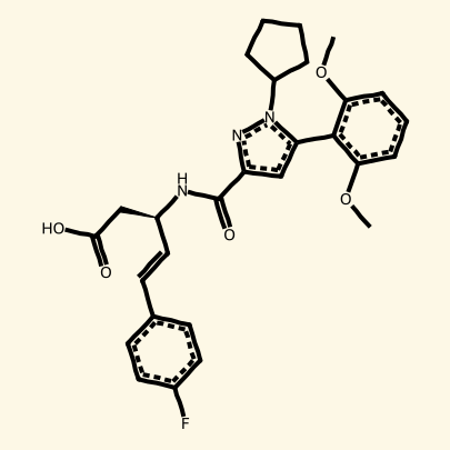 COc1cccc(OC)c1-c1cc(C(=O)N[C@@H](C=Cc2ccc(F)cc2)CC(=O)O)nn1C1CCCC1